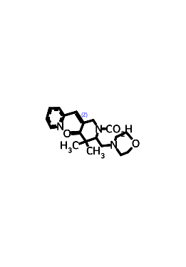 CC1(C)C(=O)/C(=C\c2ccccn2)CN(C(=O)O)C1CN1CCOCC1